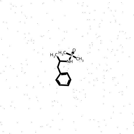 CC(Cc1ccccc1)NP(C)(C)=O